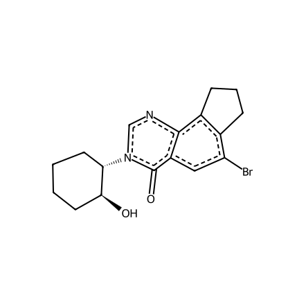 O=c1c2cc(Br)c3c(c2ncn1[C@H]1CCCC[C@@H]1O)CCC3